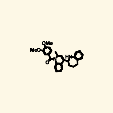 COc1ccc(C(=O)N2c3ccccc3C(C3CCCc4ccccc4N3)=CC2C)cc1OC